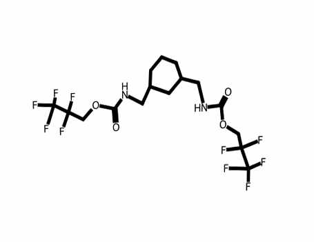 O=C(NCC1CCCC(CNC(=O)OCC(F)(F)C(F)(F)F)C1)OCC(F)(F)C(F)(F)F